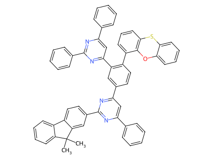 CC1(C)c2ccccc2-c2ccc(-c3nc(-c4ccccc4)cc(-c4ccc(-c5cccc6c5Oc5ccccc5S6)c(-c5cc(-c6ccccc6)nc(-c6ccccc6)n5)c4)n3)cc21